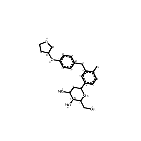 Cc1ccc(C2CC(O)[C@H](O)C(CO)O2)cc1Cc1ccc(OC2CCOC2)cc1